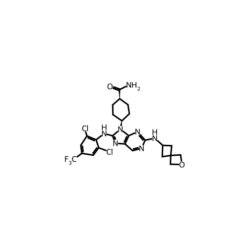 NC(=O)[C@H]1CC[C@@H](n2c(Nc3c(Cl)cc(C(F)(F)F)cc3Cl)nc3cnc(NC4CC5(COC5)C4)nc32)CC1